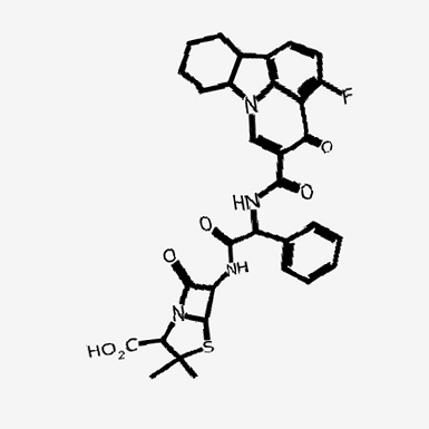 CC1(C)SC2C(NC(=O)C(NC(=O)c3cn4c5c(ccc(F)c5c3=O)C3CCCCC34)c3ccccc3)C(=O)N2C1C(=O)O